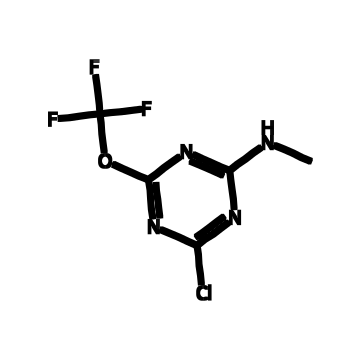 CNc1nc(Cl)nc(OC(F)(F)F)n1